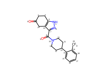 O=C1CCc2[nH]nc(C(=O)N3CCC(c4ccccc4C(F)(F)F)CC3)c2C1